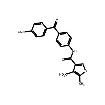 COc1ccc(C(=O)c2ccc(NC(=O)c3noc(C)c3C(=O)O)cc2)cc1